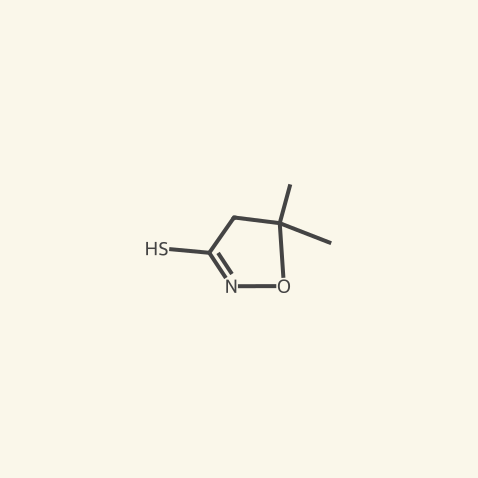 CC1(C)CC(S)=NO1